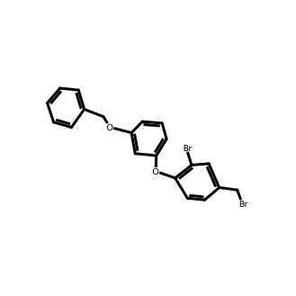 BrCc1ccc(Oc2cccc(OCc3ccccc3)c2)c(Br)c1